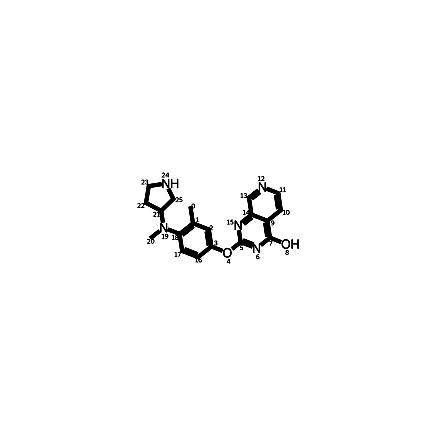 Cc1cc(Oc2nc(O)c3ccncc3n2)ccc1N(C)C1CCNC1